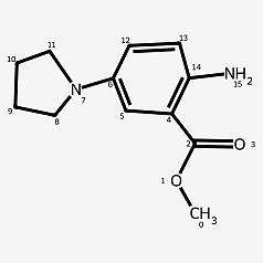 COC(=O)c1cc(N2CCCC2)ccc1N